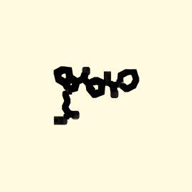 O=C(O)CCCn1cc(C(=O)c2cccc(NC(=O)N3CCCCCC3)c2)c2ccccc21